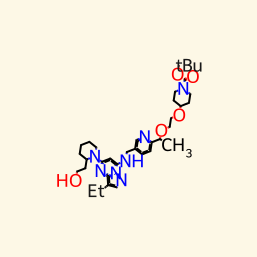 CCc1cnn2c(NCc3ccc(C(C)OCCOC4CCN(C(=O)OC(C)(C)C)CC4)nc3)cc(N3CCCCC3CCO)nc12